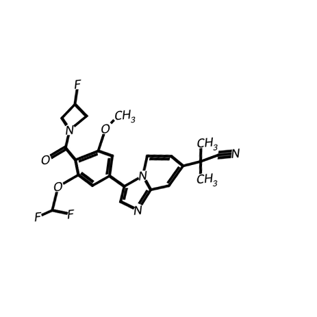 COc1cc(-c2cnc3cc(C(C)(C)C#N)ccn23)cc(OC(F)F)c1C(=O)N1CC(F)C1